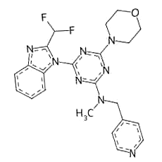 CN(Cc1ccncc1)c1nc(N2CCOCC2)nc(-n2c(C(F)F)nc3ccccc32)n1